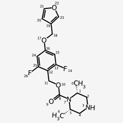 C[C@@H]1CNC[C@H](C)N1C(=O)OCc1c(F)cc(OCc2ccoc2)cc1F